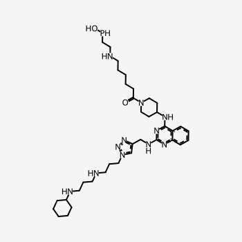 O=C(CCCCCNCCPO)N1CCC(Nc2nc(NCc3cn(CCCNCCCNC4CCCCC4)nn3)nc3ccccc23)CC1